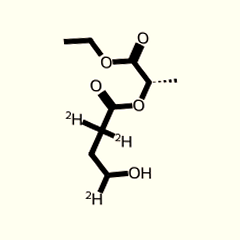 [2H]C(O)CC([2H])([2H])C(=O)O[C@@H](C)C(=O)OCC